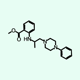 COC(=O)c1ccccc1NC(C)CN1CCN(c2ccccc2)CC1